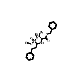 CCOP(=O)(OCC)C(CCc1ccccc1)N[C@@H](CC(C)C)C(=O)OCc1ccccc1